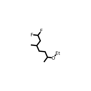 CCOC(C)CCC(C)CC(F)F